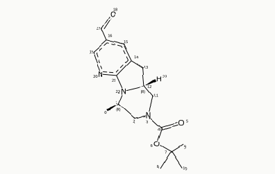 C[C@@H]1CN(C(=O)OC(C)(C)C)C[C@H]2Cc3cc(C=O)cnc3N21